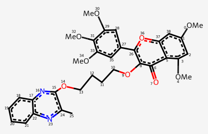 COc1cc(OC)c2c(=O)c(OCCCCOc3nc4ccccc4nc3C)c(-c3cc(OC)c(OC)c(OC)c3)oc2c1